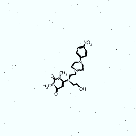 Cn1c(N(CCO)CCN2CCN(c3ccc([N+](=O)[O-])cc3)CC2)cc(=O)n(C)c1=O